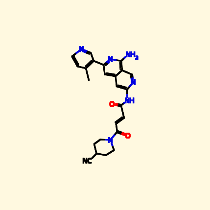 Cc1ccncc1-c1cc2cc(NC(=O)/C=C/C(=O)N3CCC(C#N)CC3)ncc2c(N)n1